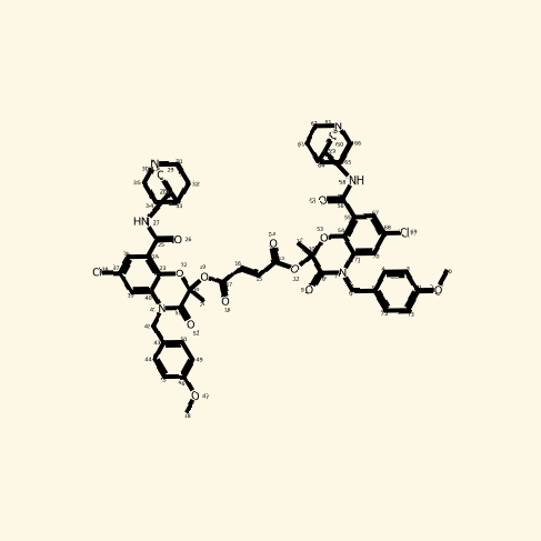 COc1ccc(CN2C(=O)C(C)(OC(=O)/C=C/C(=O)OC3(C)Oc4c(C(=O)NC5CN6CCC5CC6)cc(Cl)cc4N(Cc4ccc(OC)cc4)C3=O)Oc3c(C(=O)NC4CN5CCC4CC5)cc(Cl)cc32)cc1